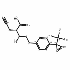 C#CC[C@@H](C(=O)O)[C@H](O)CCc1ccc(C2(C(F)(F)F)N=N2)cc1